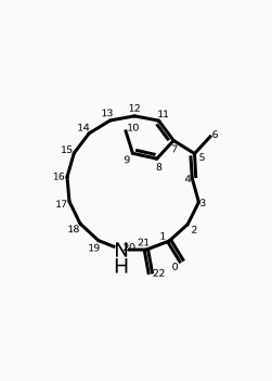 C=C1CC/C=C(C)/C(/C=C\C)=C/CCCCCCCCNC1=C